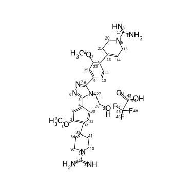 COc1cc(-c2nnc(-c3ccc(C4=CCN(C(=N)N)CC4)c(OC)c3)n2CCO)ccc1C1=CCN(C(=N)N)CC1.O=C(O)C(F)(F)F